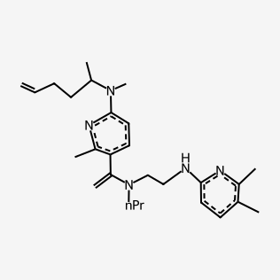 C=CCCC(C)N(C)c1ccc(C(=C)N(CCC)CCNc2ccc(C)c(C)n2)c(C)n1